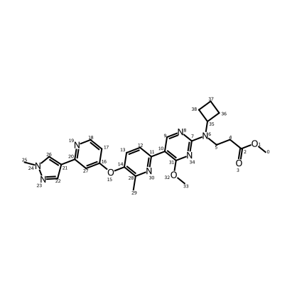 COC(=O)CCN(c1ncc(-c2ccc(Oc3ccnc(-c4cnn(C)c4)c3)c(C)n2)c(OC)n1)C1CCC1